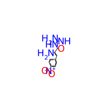 N=C(N)NC(=O)/C(N)=C/c1ccc([N+](=O)[O-])cc1